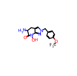 NC1Cc2cn(Cc3ccc(OC(F)(F)F)cc3)nc2N(O)C1=O